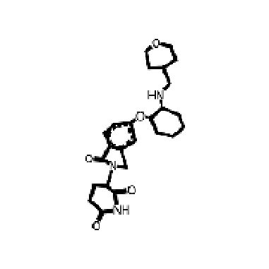 O=C1CCC(N2Cc3cc(O[C@@H]4CCCC[C@@H]4NCC4CCOCC4)ccc3C2=O)C(=O)N1